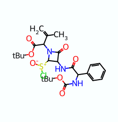 C=C(C)C(C(=O)OC(C)(C)C)N1C(=O)C(NC(=O)C(NC(=O)OC(C)(C)C)c2ccccc2)C1[S+]([O-])Cl